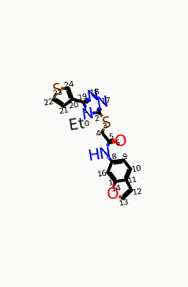 CCn1c(SCC(=O)Nc2ccc3ccoc3c2)nnc1-c1ccsc1